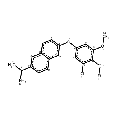 CCOc1c(Cl)cc(Oc2ccc3cc(C(C)N)ccc3c2)cc1OC(F)(F)F